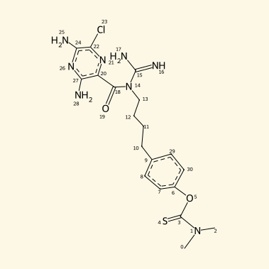 CN(C)C(=S)Oc1ccc(CCCCN(C(=N)N)C(=O)c2nc(Cl)c(N)nc2N)cc1